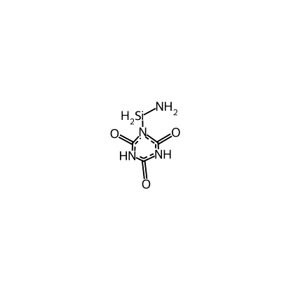 N[SiH2]n1c(=O)[nH]c(=O)[nH]c1=O